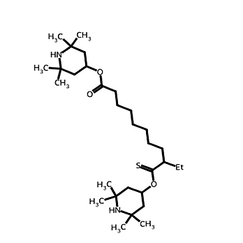 CCC(CCCCCCCC(=O)OC1CC(C)(C)NC(C)(C)C1)C(=S)OC1CC(C)(C)NC(C)(C)C1